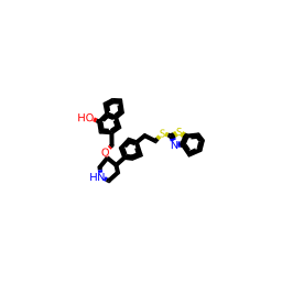 Oc1cc(COC2CNCCC2c2ccc(CCSc3nc4ccccc4s3)cc2)cc2ccccc12